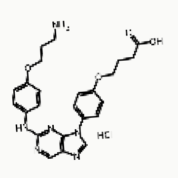 Cl.NCCCOc1ccc(Nc2ncc3ncn(-c4ccc(OCCCC(=O)O)cc4)c3n2)cc1